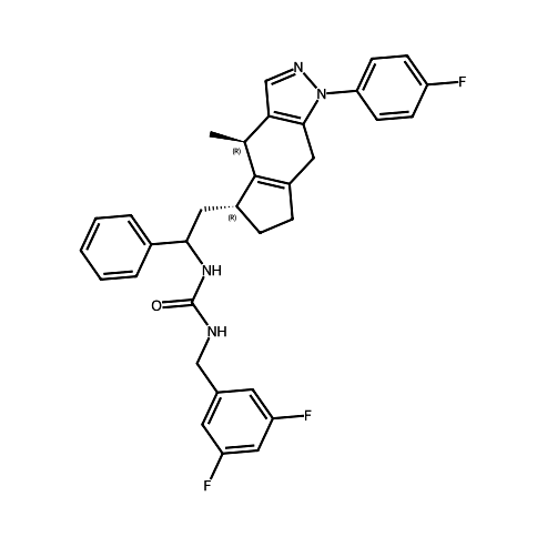 C[C@@H]1C2=C(CC[C@@H]2CC(NC(=O)NCc2cc(F)cc(F)c2)c2ccccc2)Cc2c1cnn2-c1ccc(F)cc1